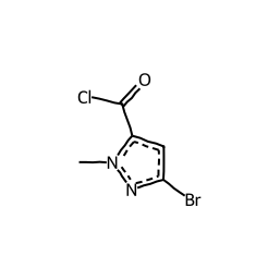 Cn1nc(Br)cc1C(=O)Cl